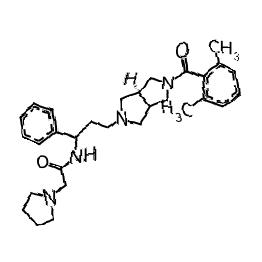 Cc1cccc(C)c1C(=O)N1CC2CN(CCC(NC(=O)CN3CCCC3)c3ccccc3)C[C@H]2C1